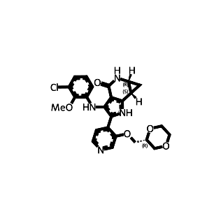 COc1c(Cl)cccc1Nc1c(-c2ccncc2OC[C@H]2COCCO2)[nH]c2c1C(=O)N[C@@H]1C[C@H]21